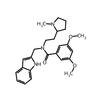 COc1cc(OC)cc(C(=O)N(CCC2CCCN2C)Cc2cc3ccccc3[nH]2)c1